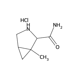 CC12CC1CNC2C(N)=O.Cl